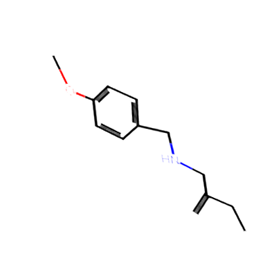 C=C(CC)CNCc1ccc(OC)cc1